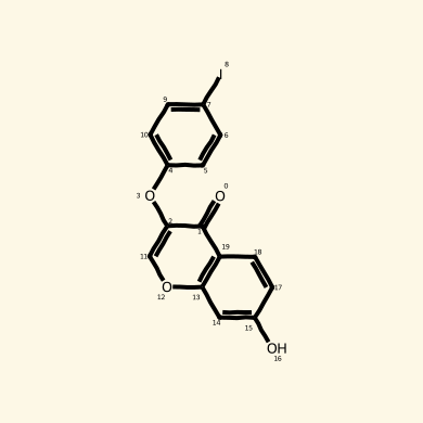 O=c1c(Oc2ccc(I)cc2)coc2cc(O)ccc12